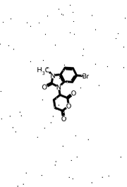 Cn1c(=O)n(C2CCC(=O)OC2=O)c2cc(Br)ccc21